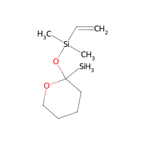 C=C[Si](C)(C)OC1([SiH3])CCCCO1